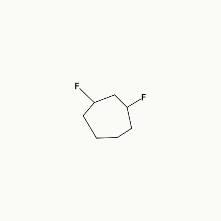 FC1CCCCC(F)C1